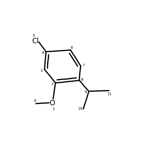 COc1cc(Cl)ccc1C(C)C